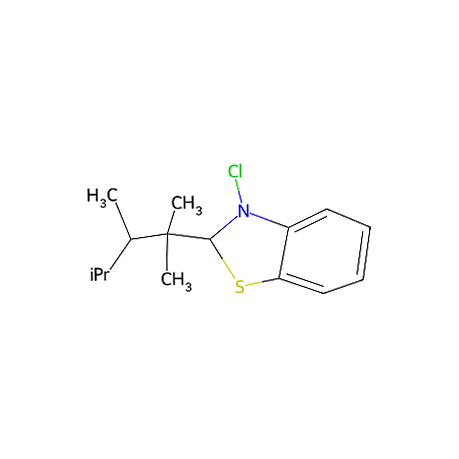 CC(C)C(C)C(C)(C)C1Sc2ccccc2N1Cl